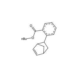 CCCCOC(=O)c1ccccc1C1CC2C=CC1C2